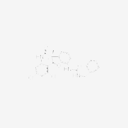 C[C@H](NC(=O)Nc1cccc([C@@]2(C)C(=O)Nc3cc(Cl)cc(Cl)c3C2=O)c1)c1ccccc1